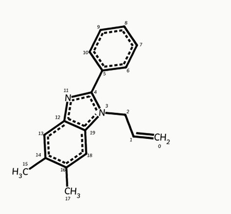 C=CCn1c(-c2ccccc2)nc2cc(C)c(C)cc21